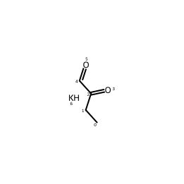 CCC(=O)C=O.[KH]